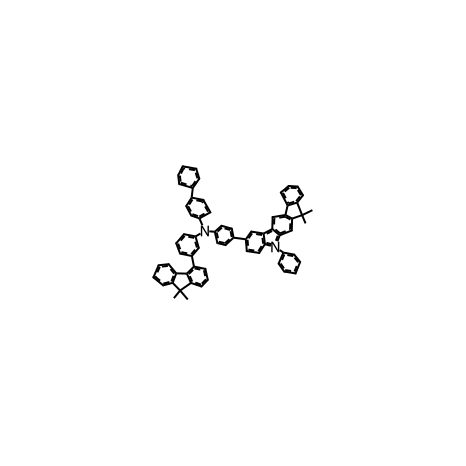 CC1(C)c2ccccc2-c2cc3c4cc(-c5ccc(N(c6ccc(-c7ccccc7)cc6)c6cccc(-c7cccc8c7-c7ccccc7C8(C)C)c6)cc5)ccc4n(-c4ccccc4)c3cc21